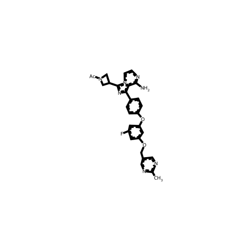 CC(=O)N1CC(c2nc(-c3ccc(Oc4cc(F)cc(OCc5cnc(C)nc5)c4)cc3)c3c(N)nccn23)C1